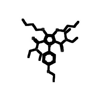 CCCCOc1c(OCCCC)c(C(=O)N(CC)CC)n(-c2ccc(OCC)cc2)c1C(=O)N(CC)CC